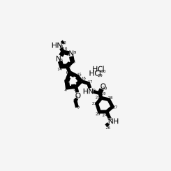 CCOc1ccc(-c2cnc(NC)nc2)cc1CNC(=O)C1CCC(NC)CC1.Cl.Cl